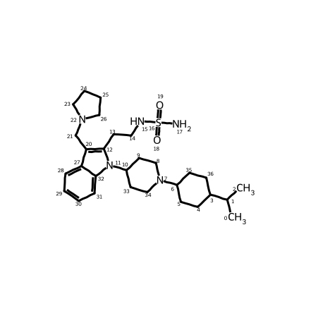 CC(C)C1CCC(N2CCC(n3c(CCNS(N)(=O)=O)c(CN4CCCC4)c4ccccc43)CC2)CC1